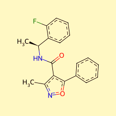 Cc1noc(-c2ccccc2)c1C(=O)N[C@@H](C)c1ccccc1F